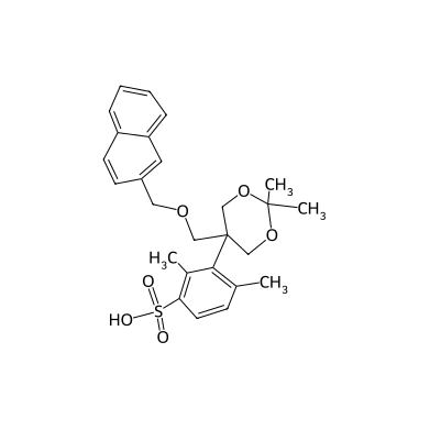 Cc1ccc(S(=O)(=O)O)c(C)c1C1(COCc2ccc3ccccc3c2)COC(C)(C)OC1